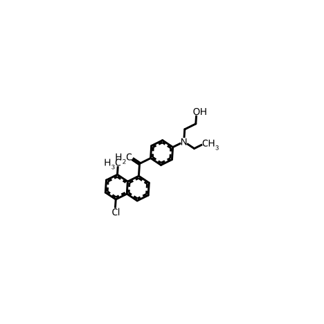 C=C(c1ccc(N(CC)CCO)cc1)c1cccc2c(Cl)ccc(C)c12